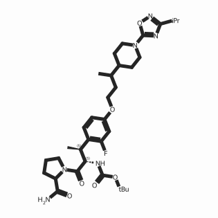 CC(C)c1noc(N2CCC(C(C)CCOc3ccc([C@H](C)[C@H](NC(=O)OC(C)(C)C)C(=O)N4CCCC4C(N)=O)c(F)c3)CC2)n1